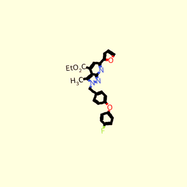 CCOC(=O)c1cc(-c2ccco2)nc2nn(Cc3ccc(Oc4ccc(F)cc4)cc3)c(C)c12